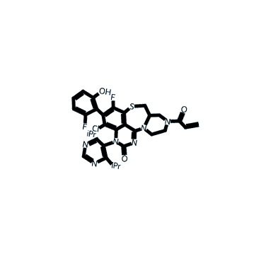 C=CC(=O)N1CCN2c3nc(=O)n(-c4c(C(C)C)ncnc4C(C)C)c4c(Cl)c(-c5c(O)cccc5F)c(F)c(c34)SCC2C1